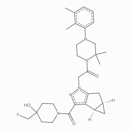 Cc1cccc(N2CCN(C(=O)Cn3nc(C(=O)N4CCC(O)(CF)CC4)c4c3C[C@H]3C[C@@H]43)C(C)(C)C2)c1C